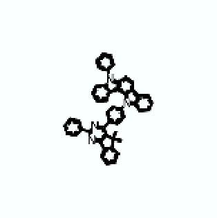 CC1(C)c2ccccc2-c2nc(-c3ccccc3)nc(-c3ccc(-n4c5ccccc5c5ccc6c(c7ccccc7n6-c6ccccc6)c54)cc3)c21